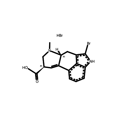 Br.CN1C[C@H](C(=O)O)C=C2c3cccc4[nH]c(Br)c(c34)C[C@H]21